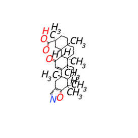 CC1(C)c2oncc2C[C@]2(C)C3=CC(=O)[C@@H]4[C@@H]5C[C@@](C)(C(=O)O)CC[C@]5(C)CC[C@@]4(C)[C@]3(C)CC[C@@H]12